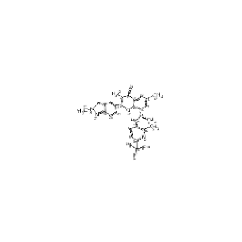 Cc1cc([C@@H](C)Nc2ccc(C(F)(F)F)nc2C)c2oc(-c3ccc4nn(C)cc4c3)c(C)c(=O)c2c1